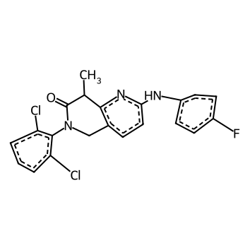 CC1C(=O)N(c2c(Cl)cccc2Cl)Cc2ccc(Nc3ccc(F)cc3)nc21